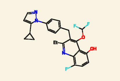 CCc1nc2c(F)ccc(O)c2c(OC(F)F)c1Cc1ccc(-n2nccc2C2CC2)cc1